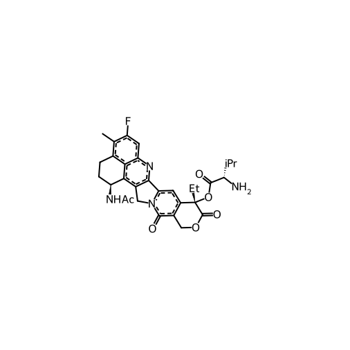 CC[C@@]1(OC(=O)[C@@H](N)C(C)C)C(=O)OCc2c1cc1n(c2=O)Cc2c-1nc1cc(F)c(C)c3c1c2[C@@H](NC(C)=O)CC3